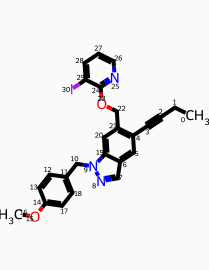 CCC#Cc1cc2cnn(Cc3ccc(OC)cc3)c2cc1COc1ncccc1I